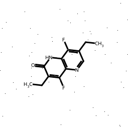 CCc1cnc2c(F)c(CC)c(=O)[nH]c2c1F